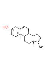 CC(=O)C1CCC2C3CC=C4C[C@@H](O)CC[C@]4(C)C3CCC12C